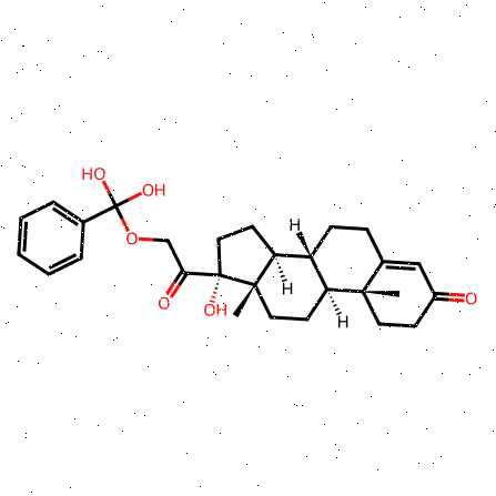 C[C@]12CCC(=O)C=C1CC[C@@H]1[C@@H]2CC[C@@]2(C)[C@H]1CC[C@]2(O)C(=O)COC(O)(O)c1ccccc1